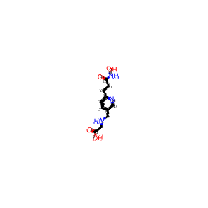 O=C(O)CNCc1ccc(CCC(=O)NO)nc1